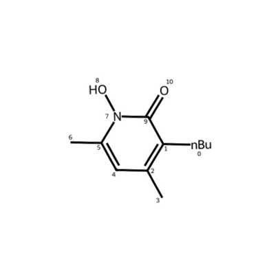 CCCCc1c(C)cc(C)n(O)c1=O